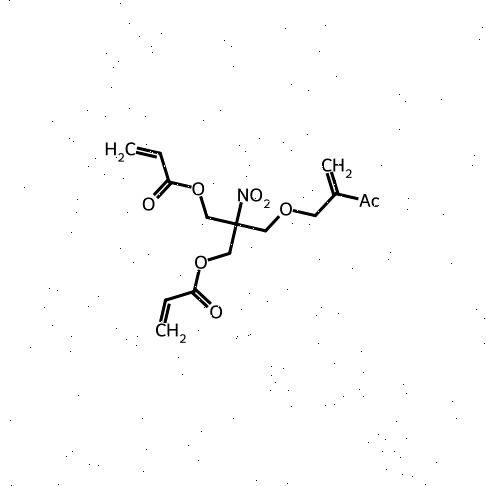 C=CC(=O)OCC(COCC(=C)C(C)=O)(COC(=O)C=C)[N+](=O)[O-]